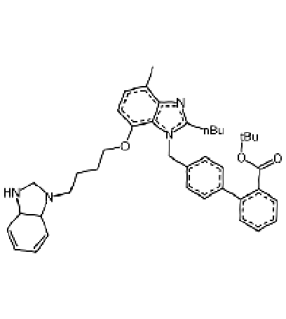 CCCCc1nc2c(C)ccc(OCCCCN3CNC4C=CC=CC43)c2n1Cc1ccc(-c2ccccc2C(=O)OC(C)(C)C)cc1